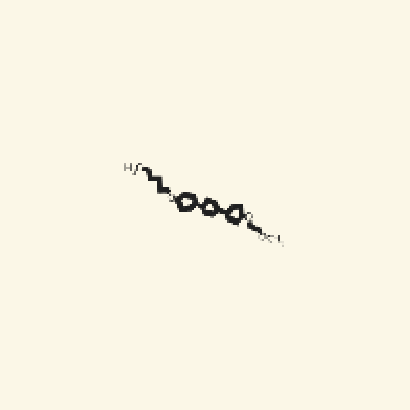 CCCCCCOc1ccc(-c2ccc(-c3ccc(OCCOC)cc3)cc2)cc1